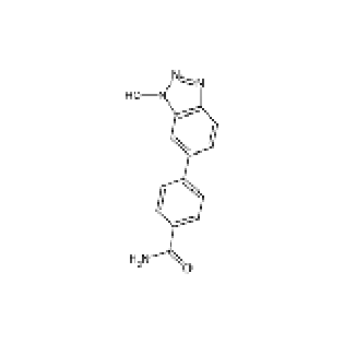 NC(=O)c1ccc(-c2ccc3nnn(O)c3c2)cc1